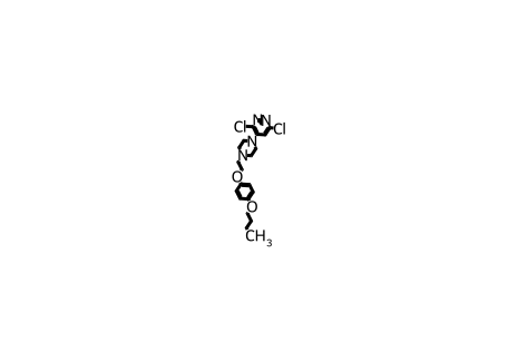 CCCCOc1ccc(OCCN2CCN(c3cc(Cl)nnc3Cl)CC2)cc1